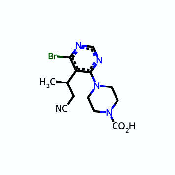 C[C@H](CC#N)c1c(Br)ncnc1N1CCN(C(=O)O)CC1